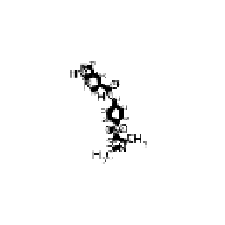 Cc1nc(C)c(S(=O)(=O)c2ccc(CNC(=O)c3cnc4[nH]ncc4c3)cc2)s1